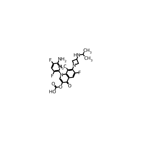 Cc1c(N2CC(NC(C)C)C2)c(F)cc2c(=O)c(OC(=O)O)cn(-c3nc(N)c(F)cc3F)c12